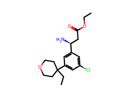 CCOC(=O)C[C@H](N)c1cc(Cl)cc(C2(CC)CCOCC2)c1